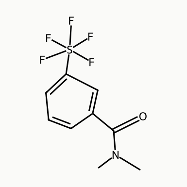 CN(C)C(=O)c1cccc(S(F)(F)(F)(F)F)c1